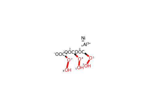 O=C([O-])OO.O=C([O-])OO.O=C([O-])OO.[Al+3].[Ni]